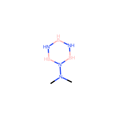 CN(C)N1BNBNB1